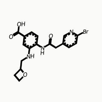 O=C(Cc1ccc(Br)nc1)Nc1ccc(C(=O)O)cc1NCC1CCO1